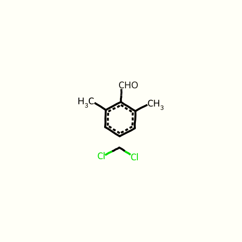 Cc1cccc(C)c1C=O.ClCCl